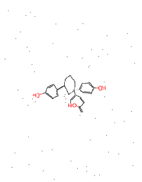 C=C(O)/C=C\C(=C/C)[C@]1(c2ccc(O)cc2)CCCC(c2ccc(O)cc2)C1